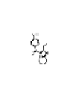 CCc1nc2n(c1C(=O)c1ccc(O)cc1)CCCC2